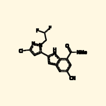 CNC(=O)c1cc(C#N)cc2cc(-c3cc(Cl)nn3CC(F)F)[nH]c12